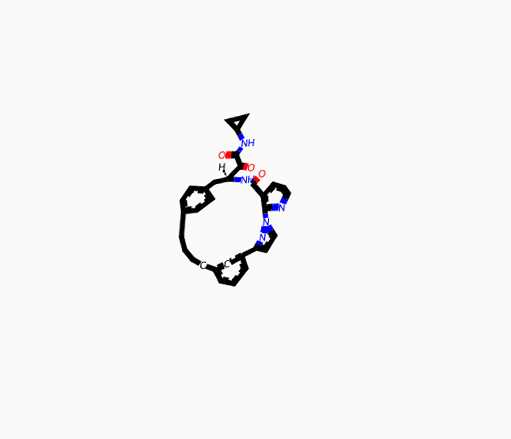 O=C(NC1CC1)C(=O)[C@@H]1Cc2ccc(cc2)CCCCc2cccc(c2)-c2ccn(n2)-c2ncccc2C(=O)N1